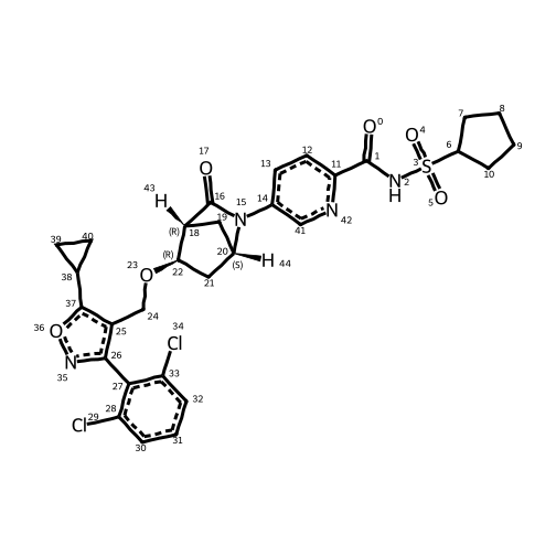 O=C(NS(=O)(=O)C1CCCC1)c1ccc(N2C(=O)[C@@H]3C[C@H]2C[C@H]3OCc2c(-c3c(Cl)cccc3Cl)noc2C2CC2)cn1